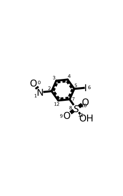 O=Nc1ccc(I)c(S(=O)(=O)O)c1